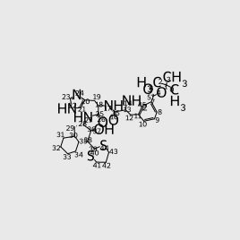 CC(C)(C)OC(=O)c1cccc(CC(N)C(=O)NC(Cc2c[nH]cn2)C(=O)N[C@@H](CC2CCCCC2)[C@@H](O)CC2SCCCS2)c1